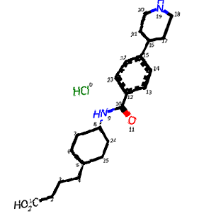 Cl.O=C(O)CCC[C@H]1CC[C@H](NC(=O)c2ccc(C3CCNCC3)cc2)CC1